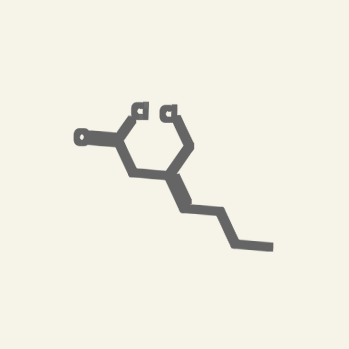 CCCC=C(CCl)CC(=O)Cl